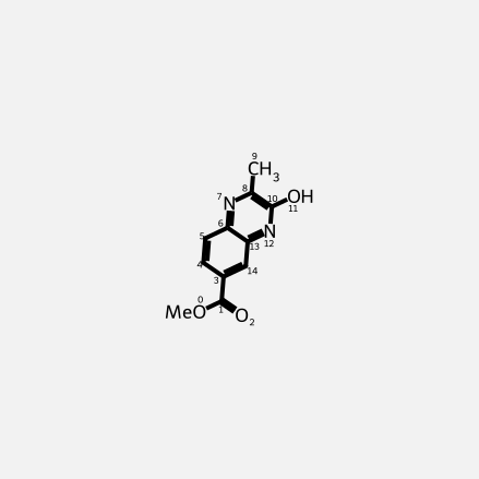 COC(=O)c1ccc2nc(C)c(O)nc2c1